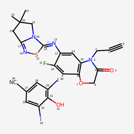 C#CCN1C(=O)COc2cc(F)c(/N=c3\snc4n3CC(C)(C)C4)cc21.N#Cc1cc(I)c(O)c(I)c1